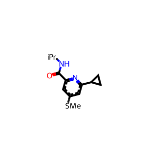 CSc1cc(C(=O)NC(C)C)nc(C2CC2)c1